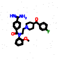 COc1ccccc1N(CCN1CCC(C(=O)c2ccc(F)cc2)CC1)C(=O)c1ccc(C(=N)N)cc1